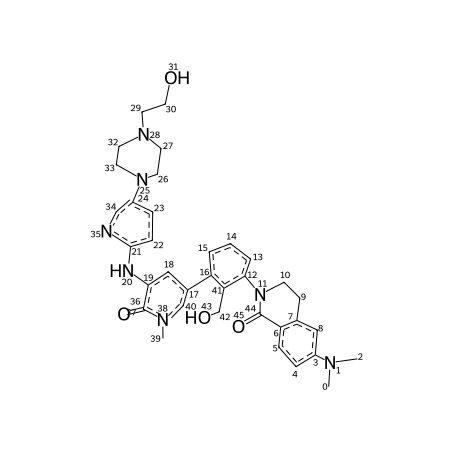 CN(C)c1ccc2c(c1)CCN(c1cccc(-c3cc(Nc4ccc(N5CCN(CCO)CC5)cn4)c(=O)n(C)c3)c1CO)C2=O